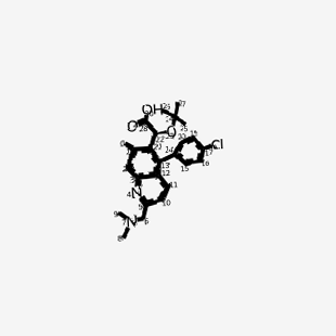 Cc1cc2nc(CN(C)C)ccc2c(-c2ccc(Cl)cc2)c1[C@H](OC(C)(C)C)C(=O)O